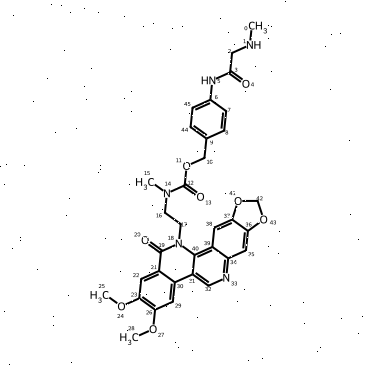 CNCC(=O)Nc1ccc(COC(=O)N(C)CCn2c(=O)c3cc(OC)c(OC)cc3c3cnc4cc5c(cc4c32)OCO5)cc1